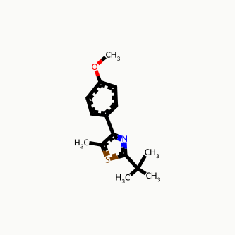 COc1ccc(-c2nc(C(C)(C)C)sc2C)cc1